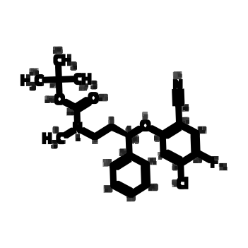 CN(CC[C@@H](Oc1cc(Cl)c(F)cc1C#N)c1ccccc1)C(=O)OC(C)(C)C